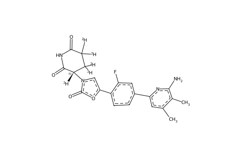 [2H]C1([2H])C(=O)NC(=O)[C@@]([2H])(n2cc(-c3ccc(-c4cc(C)c(C)c(N)n4)cc3F)oc2=O)C1([2H])[2H]